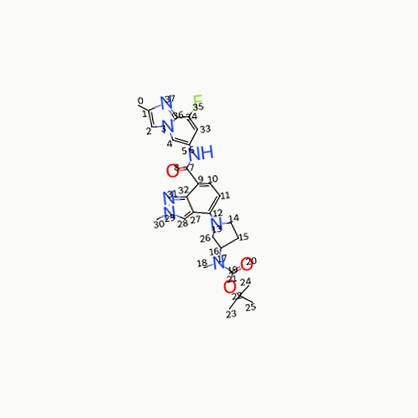 Cc1cn2cc(NC(=O)c3ccc(N4CCC(N(C)C(=O)OC(C)(C)C)C4)c4cn(C)nc34)cc(F)c2n1